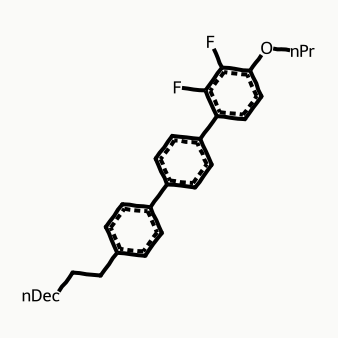 CCCCCCCCCCCCc1ccc(-c2ccc(-c3ccc(OCCC)c(F)c3F)cc2)cc1